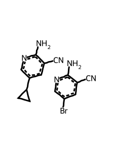 N#Cc1cc(Br)cnc1N.N#Cc1cc(C2CC2)cnc1N